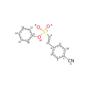 N#Cc1ccc(C=CS(=O)(=O)Oc2ccccc2)cc1